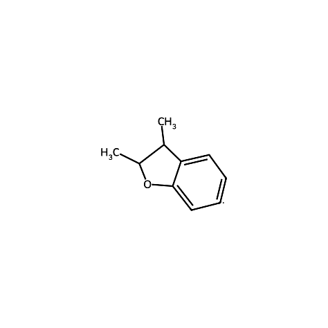 CC1Oc2c[c]ccc2C1C